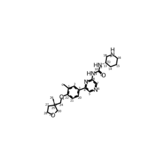 Cc1cc(-c2cncc(NC(=O)N[C@H]3CCCNC3)n2)ccc1OC[C@@]1(C)CCOC1